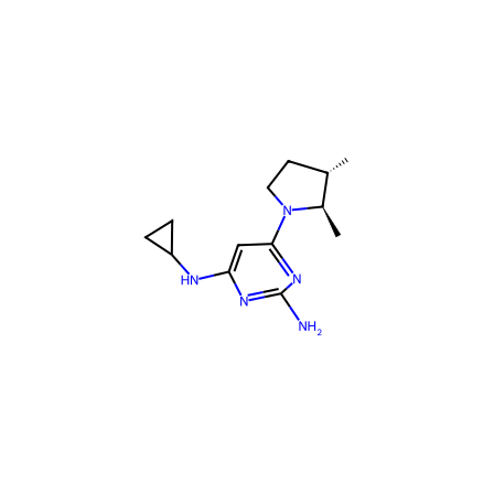 C[C@@H]1[C@@H](C)CCN1c1cc(NC2CC2)nc(N)n1